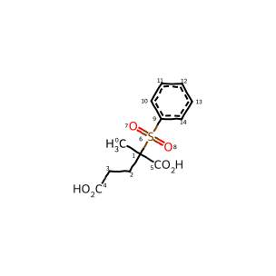 CC(CCC(=O)O)(C(=O)O)S(=O)(=O)c1ccccc1